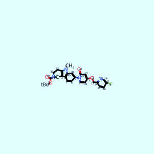 Cn1c2c(c3ccc(-n4ccc(OCc5ccc(F)cn5)cc4=O)cc31)CN(C(=O)OC(C)(C)C)CC2